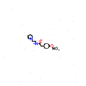 O=C(CC1CCC(O[N+](=O)[O-])CC1)NCCN1CCCC1